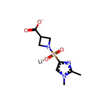 Cc1nc(S(=O)(=O)N2CC(C(=O)[O-])C2)cn1C.[Li+]